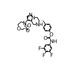 O=C(Nc1cc(F)c(F)c(F)c1)Oc1ccc(C[C@H]2Cn3ncc(N4CCOCS4(=O)=O)c3CN2)cc1